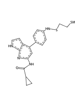 CSCCSNc1ccc(-c2cc(NC(=O)C3CC3)nc3[nH]ccc23)cc1